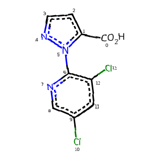 O=C(O)c1ccnn1-c1ncc(Cl)cc1Cl